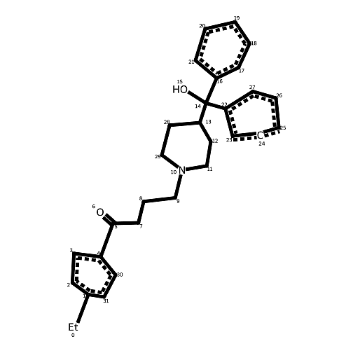 CCc1ccc(C(=O)CCCN2CCC(C(O)(c3ccccc3)c3ccccc3)CC2)cc1